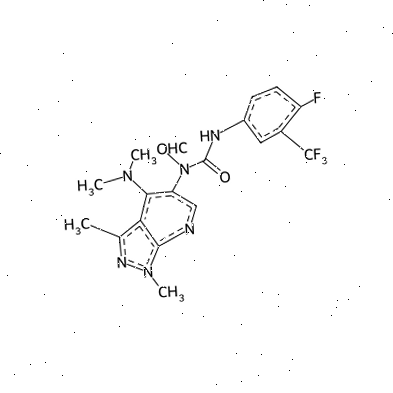 Cc1nn(C)c2ncc(N(C=O)C(=O)Nc3ccc(F)c(C(F)(F)F)c3)c(N(C)C)c12